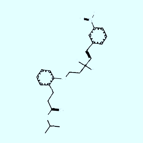 CC(C)OC(=O)CCc1ccccc1OCCC(F)(F)C=Cc1cccc([N+](=O)[O-])c1